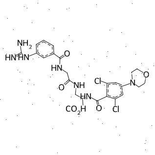 N=C(N)Nc1cccc(C(=O)NCC(=O)NCC(NC(=O)c2c(Cl)cc(N3CCOCC3)cc2Cl)C(=O)O)c1